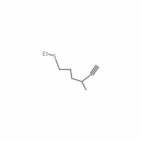 C#CC(C)CCCSC[CH2]